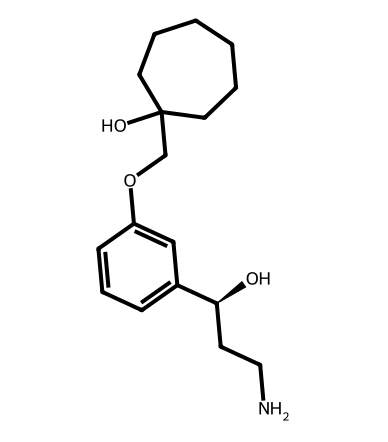 NCC[C@H](O)c1cccc(OCC2(O)CCCCCC2)c1